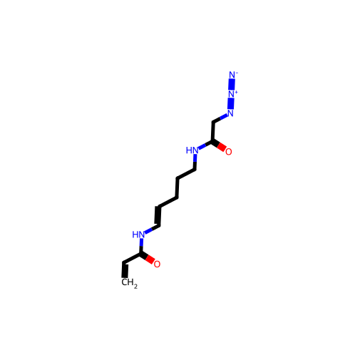 C=CC(=O)NC=CCCCNC(=O)CN=[N+]=[N-]